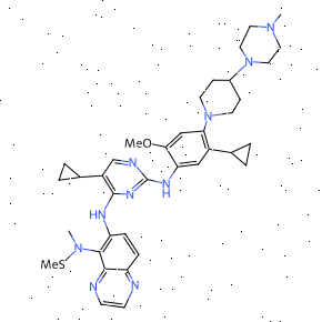 COc1cc(N2CCC(N3CCN(C)CC3)CC2)c(C2CC2)cc1Nc1ncc(C2CC2)c(Nc2ccc3nccnc3c2N(C)SC)n1